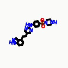 O=S(=O)(c1ccc(Nc2ncc(/C=C/c3cccc4[nH]ncc34)cn2)cc1)N1CCNCC1